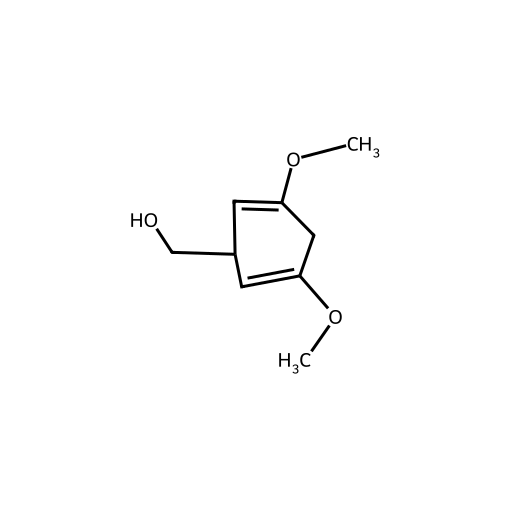 COC1=CC(CO)C=C(OC)C1